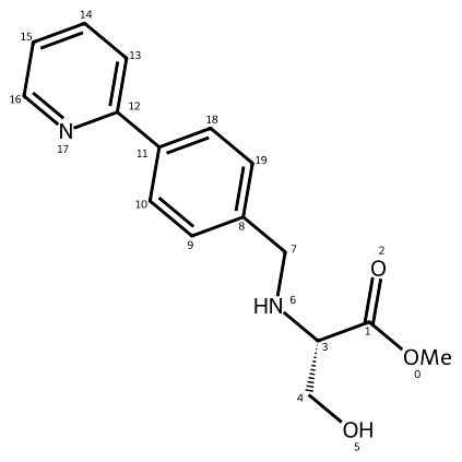 COC(=O)[C@H](CO)NCc1ccc(-c2ccccn2)cc1